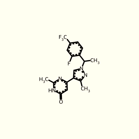 Cc1nc(-c2cn(C(C)c3ccc(C(F)(F)F)cc3F)nc2C)cc(=O)[nH]1